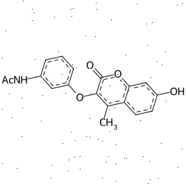 CC(=O)Nc1cccc(Oc2c(C)c3ccc(O)cc3oc2=O)c1